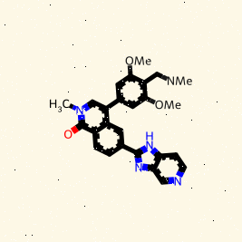 CNCc1c(OC)cc(-c2cn(C)c(=O)c3ccc(-c4nc5cnccc5[nH]4)cc23)cc1OC